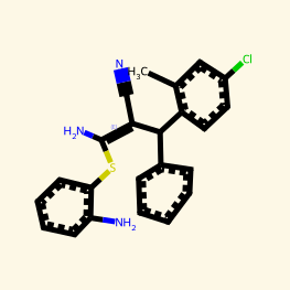 Cc1cc(Cl)ccc1C(/C(C#N)=C(/N)Sc1ccccc1N)c1ccccc1